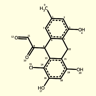 Cc1cc(O)c2c(c1)C(C(=O)C=O)c1c(Cl)c(O)cc(O)c1C2